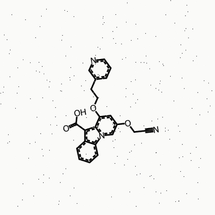 N#CCOc1cc(OCCc2cccnc2)c2c(C(=O)O)c3ccccc3n2c1